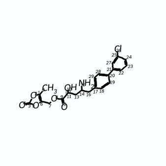 Cc1oc(=O)oc1COC(=O)[C@H](O)CC(N)Cc1ccc(-c2cccc(Cl)c2)cc1